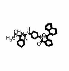 CN(C)c1nc(NC2CCC(NC(=O)c3ccccc3C(=O)c3cccc4ccccc34)CC2)nc2c1CCCC2